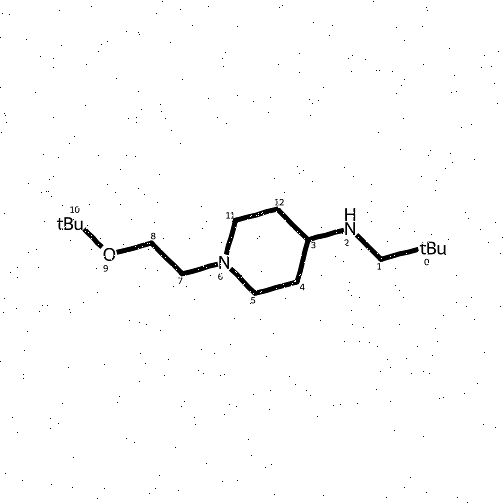 CC(C)(C)CNC1CCN(CCOC(C)(C)C)CC1